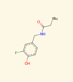 CC(C)(C)CC(=O)NCc1ccc(O)c(F)c1